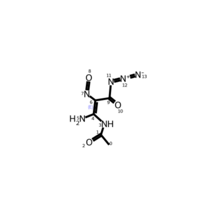 CC(=O)N/C(N)=C(/N=O)C(=O)N=[N+]=[N-]